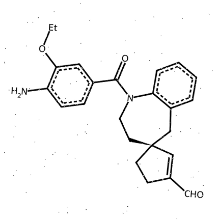 CCOc1cc(C(=O)N2CC[C@]3(C=C(C=O)CC3)Cc3ccccc32)ccc1N